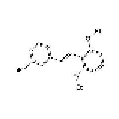 C[CH]Cc1cccc(/C=C/c2c(OCC)cccc2OCC)c1